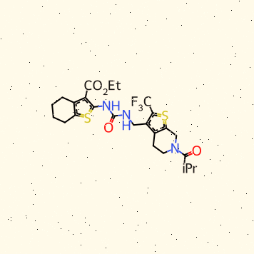 CCOC(=O)c1c(NC(=O)NCc2c(C(F)(F)F)sc3c2CCN(C(=O)C(C)C)C3)sc2c1CCCC2